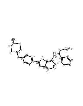 CCN1CCN(Cc2ccc(-c3cc4ncnc(NC(COC)c5ccccc5)c4s3)cc2)CC1